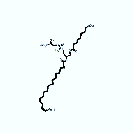 CCCCC/C=C\C/C=C\CCCCCCCCCCCC(=O)O[C@H](COC(=O)CCCCCCCCCCCCCCCCC)COP(=O)(O)OC[C@H](N)C(=O)O